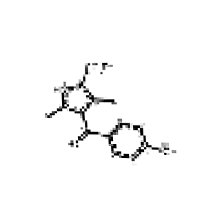 CCOC(=O)c1[nH]c(C)c(C(=O)c2ccc(O)cc2)c1C